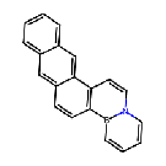 C1=CB2c3ccc4cc5ccccc5cc4c3C=CN2C=C1